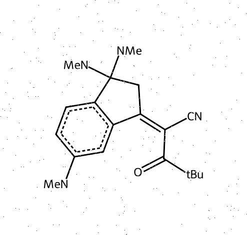 CNc1ccc2c(c1)C(=C(C#N)C(=O)C(C)(C)C)CC2(NC)NC